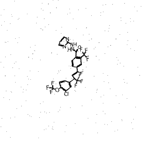 O=C(NNc1ncccn1)c1ccc(C(F)=CC(c2ccc(OC(F)(F)F)c(Cl)c2)C(F)(F)F)cc1C(F)(F)F